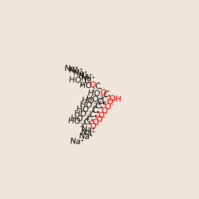 O=C(O)O.O=C([O-])O.O=C([O-])O.O=C([O-])O.O=C([O-])O.O=C([O-])O.O=C([O-])O.O=C([O-])O.O=C([O-])O.O=C([O-])O.[Na+].[Na+].[Na+].[Na+].[Na+].[Na+].[Na+].[Na+].[Na+]